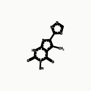 CCCn1c(=O)[nH]c2sc(-c3nnco3)c(C)c2c1=O